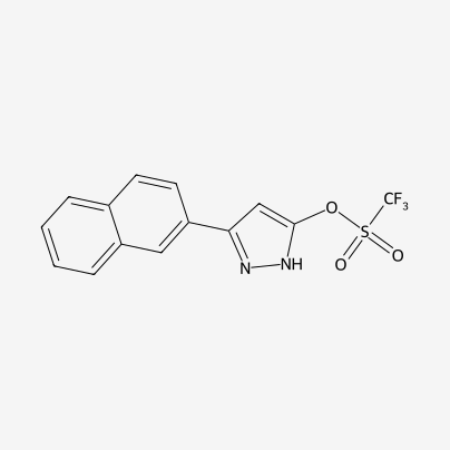 O=S(=O)(Oc1cc(-c2ccc3ccccc3c2)n[nH]1)C(F)(F)F